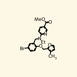 CCN(Cc1cc(Br)ccc1OCc1occc1C)c1ccc(C(=O)OC)cn1